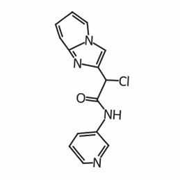 O=C(Nc1cccnc1)C(Cl)c1cn2ccccc2n1